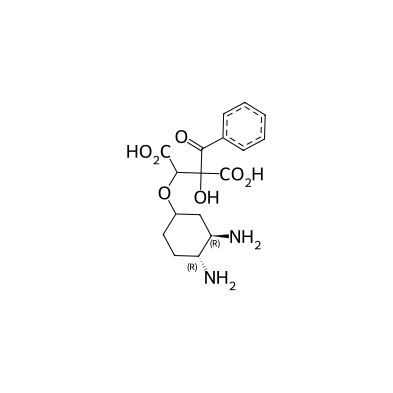 N[C@@H]1CCC(OC(C(=O)O)C(O)(C(=O)O)C(=O)c2ccccc2)C[C@H]1N